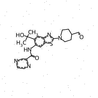 CC(C)(O)c1cc2nc(N3CCC(C=O)CC3)sc2cc1NC(=O)c1cnccn1